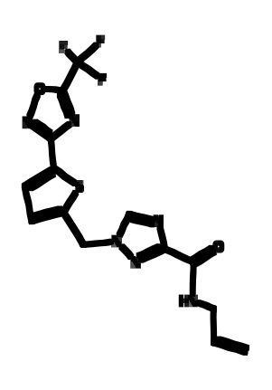 C=CCNC(=O)c1ncn(Cc2ccc(-c3noc(C(F)(F)F)n3)s2)n1